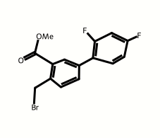 COC(=O)c1cc(-c2ccc(F)cc2F)ccc1CBr